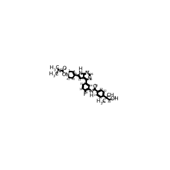 CN(C)C(=O)ON1CC=C(c2cc3c(-c4ccc(F)c(NC(=O)c5ccc(C(C)(C)CO)cc5)c4)ncnc3[nH]2)CC1